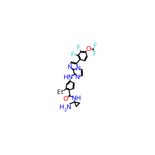 CCc1cc(Nc2nccn3c(-c4ccc(OC(F)F)c(F)c4F)cnc23)ccc1C(=O)NC1(CN)CC1